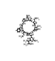 CC(C)CC1NC(=O)C(Cc2ccccc2)NC(=O)C(CCN)NC(=O)C(NC(=O)C(CCN)NC(=O)C(N)C(C)O)CCNC(=O)C(C(C)O)NC(=O)C(CCN)CC(=O)C(CCN)NC1=O